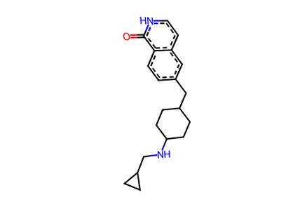 O=c1[nH]ccc2cc(CC3CCC(NCC4CC4)CC3)ccc12